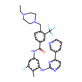 CCN1CCN(Cc2ccc(C(=O)Nc3cc(F)c(C)c(Nc4nccc(-c5cccnc5)n4)c3)cc2C(F)(F)F)CC1